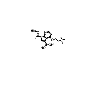 CC(C)(C)OC(=O)n1cc(B(O)O)c2c(OCCS(C)(C)C)ncnc21